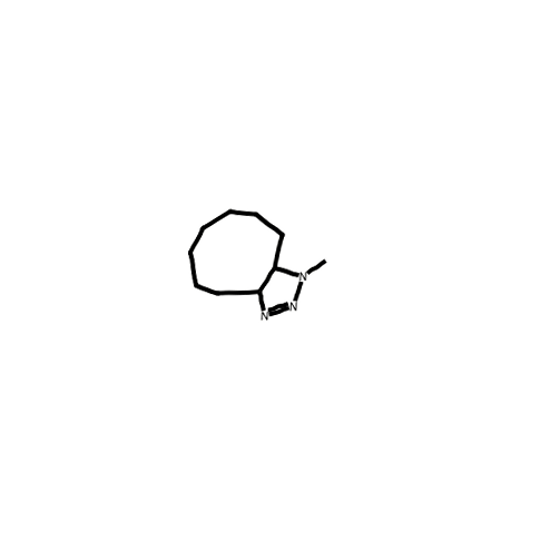 CN1N=NC2CCCCCCCC21